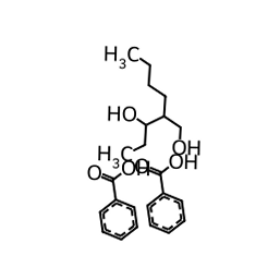 CCCCC(CO)C(O)CC.O=C(O)c1ccccc1.O=C(O)c1ccccc1